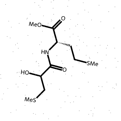 COC(=O)[C@H](CCSC)NC(=O)C(O)CSC